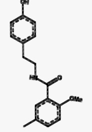 COc1ccc(C)cc1C(=O)NCCc1ccc(O)cc1